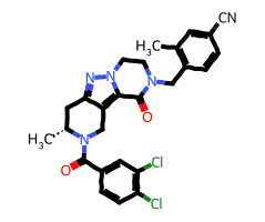 Cc1cc(C#N)ccc1CN1CCn2nc3c(c2C1=O)CN(C(=O)c1ccc(Cl)c(Cl)c1)[C@H](C)C3